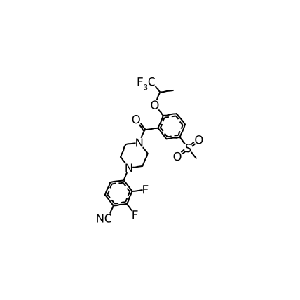 CC(Oc1ccc(S(C)(=O)=O)cc1C(=O)N1CCN(c2ccc(C#N)c(F)c2F)CC1)C(F)(F)F